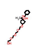 C=C(OCc1ccccc1)C1(O)CCC(OCCOCCOCCOCCO)CC1